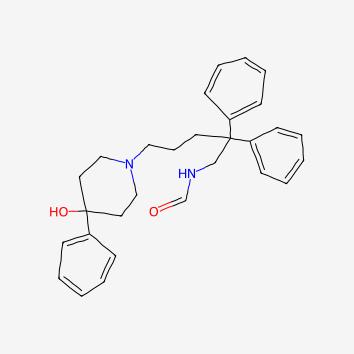 O=CNCC(CCCN1CCC(O)(c2ccccc2)CC1)(c1ccccc1)c1ccccc1